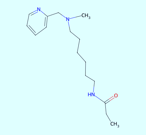 CCC(=O)NCCCCCCN(C)Cc1ccccn1